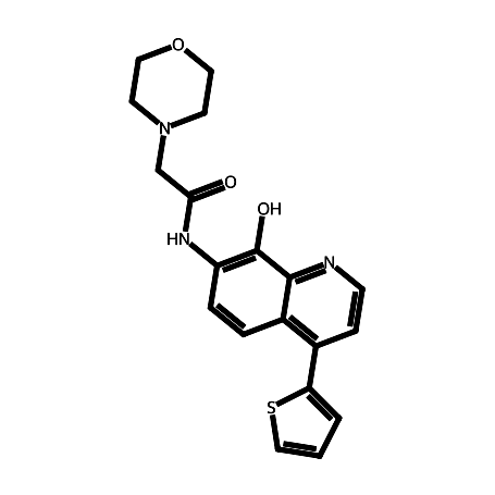 O=C(CN1CCOCC1)Nc1ccc2c(-c3cccs3)ccnc2c1O